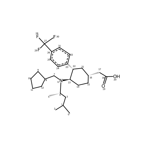 CC(C)C[C@H](C)N(CC1CCCC1)[C@@H]1CC[C@@H](CC(=O)O)C[C@H]1c1ccc(C(F)(F)F)cc1